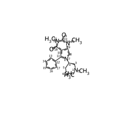 CN(C)C[C@@H](CS)n1cc2c(c1-c1ccccc1)c(=O)n(C)c(=O)n2C